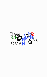 CCN1C(=O)N(C)c2cnc(Nc3cc(OC)c(Cl)cc3OC)nc2N1C1CCCC1